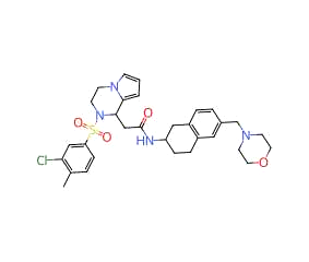 Cc1ccc(S(=O)(=O)N2CCn3cccc3C2CC(=O)NC2CCc3cc(CN4CCOCC4)ccc3C2)cc1Cl